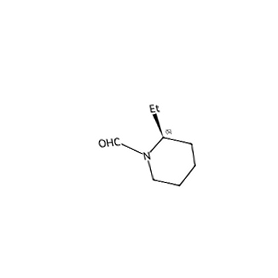 CC[C@H]1CCCCN1C=O